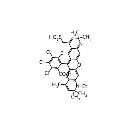 CCN1c2cc3c(cc2C(C)=CC1(C)C)C(c1c(Cl)c(Cl)c(Cl)c(Cl)c1C(=O)O)=c1cc2c(cc1O3)=NC(C)(C)C=C2CS(=O)(=O)O